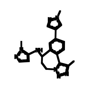 Cc1nnn2c1-c1ccc(-c3cnn(C)c3)cc1C(Nc1ccnn1C)CC2